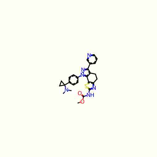 COC(=O)Nc1nc2c(s1)-c1c(c(-c3cccnc3)nn1-c1ccc(C3(N(C)C)CC3)cc1)CC2